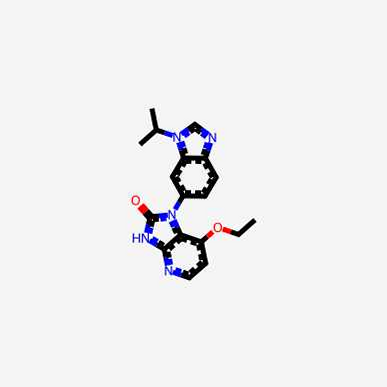 CCOc1ccnc2[nH]c(=O)n(-c3ccc4ncn(C(C)C)c4c3)c12